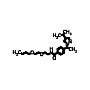 CCCCOCCOCCNC(=O)c1ccc(C(C)n2cc(C(C)C)cn2)cc1